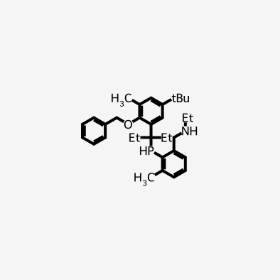 CCNCc1cccc(C)c1PC(CC)(CC)c1cc(C(C)(C)C)cc(C)c1OCc1ccccc1